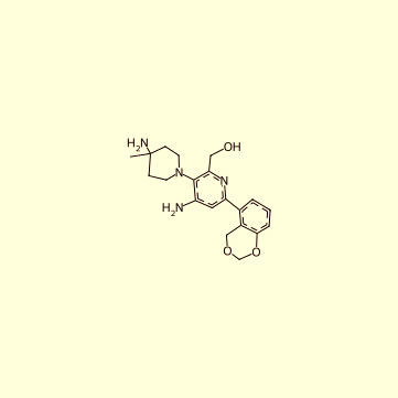 CC1(N)CCN(c2c(N)cc(-c3cccc4c3COCO4)nc2CO)CC1